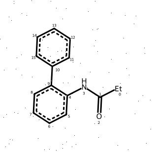 CCC(=O)Nc1ccccc1-c1ccccc1